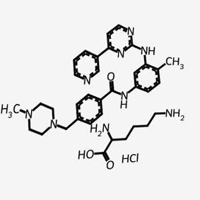 Cc1ccc(NC(=O)c2ccc(CN3CCN(C)CC3)cc2)cc1Nc1nccc(-c2cccnc2)n1.Cl.NCCCCC(N)C(=O)O